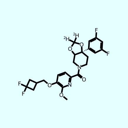 [2H]C1([2H])OC2CN(C(=O)c3ccc(OCC4CC(F)(F)C4)c(OC)n3)CC[C@]2(c2cc(F)cc(F)c2)O1